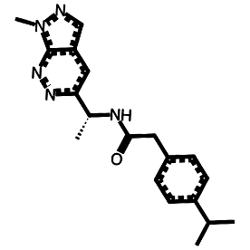 CC(C)c1ccc(CC(=O)N[C@H](C)c2cc3cnn(C)c3nn2)cc1